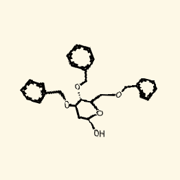 O[C@H]1CC(OCc2ccccc2)[C@H](OCc2ccccc2)C(COCc2ccccc2)O1